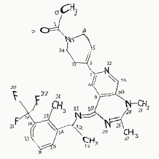 CC(=O)N1CC=C(c2cc3c(=NC(C)c4cccc(C(F)(F)F)c4C)nc(C)n(C)c3cn2)CC1